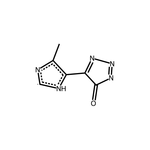 Cc1n[c][nH]c1C1=NN=NC1=O